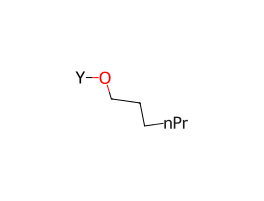 CCCCCC[O][Y]